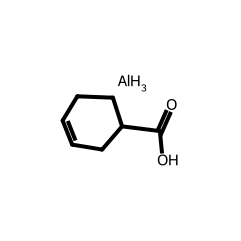 O=C(O)C1CC=CCC1.[AlH3]